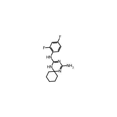 NC1=NC2(CCCCC2)NC(Nc2ccc(F)cc2F)=N1